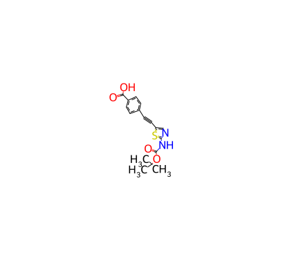 CC(C)(C)OC(=O)Nc1ncc(C#Cc2ccc(C(=O)O)cc2)s1